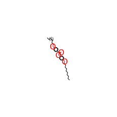 CCCCCCCCCCOc1ccc(OC(=O)c2ccc(OCCC[C@@H](C)CC)cc2)cc1